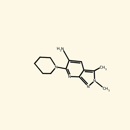 Cc1c2cc(N)c(N3CCCCC3)nc2nn1C